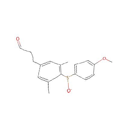 COc1ccc([S+]([O-])c2c(C)cc(CCC=O)cc2C)cc1